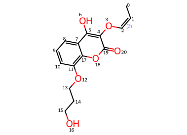 C/C=C\Oc1c(O)c2cccc(OCCCO)c2oc1=O